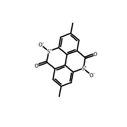 Cc1cc2c(=O)[s+]([O-])c3cc(C)cc4c(=O)[s+]([O-])c(c1)c2c43